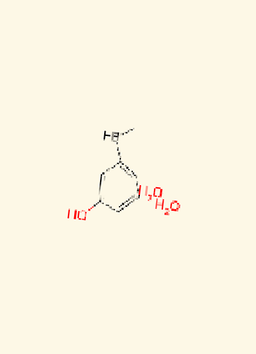 CBc1cccc(O)c1.O.O